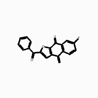 C=C1c2ccc(F)cc2C(=O)c2oc(C(=O)c3ccccc3)cc21